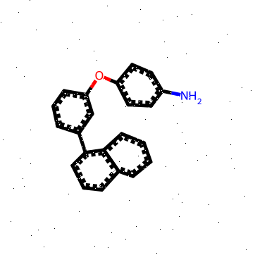 Nc1ccc(Oc2cccc(-c3cccc4ccccc34)c2)cc1